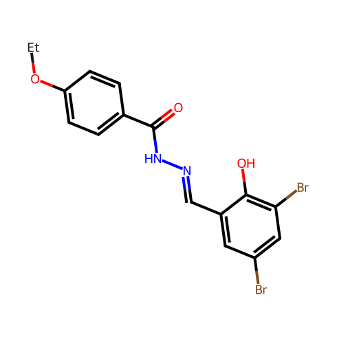 CCOc1ccc(C(=O)N/N=C/c2cc(Br)cc(Br)c2O)cc1